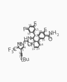 CC(C)(C)C#Cc1cn(CC(=O)NC(Cc2cc(F)cc(F)c2)c2ncccc2-c2ccc(F)c(C(N)=O)c2)nc1C(F)(F)F